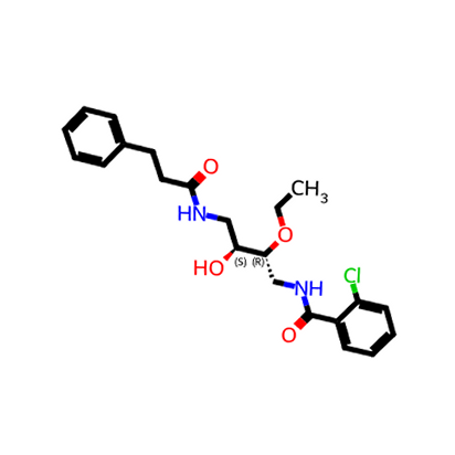 CCO[C@H](CNC(=O)c1ccccc1Cl)[C@@H](O)CNC(=O)CCc1ccccc1